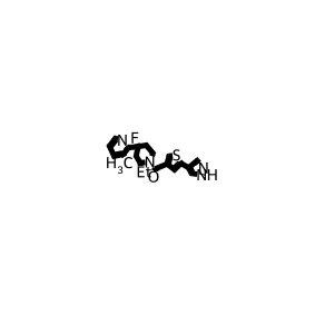 CCC1CC(F)(c2ncccc2C)CCN1C(=O)c1csc(-c2cn[nH]c2)c1